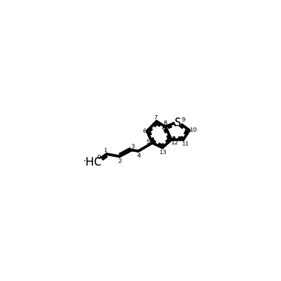 [CH]=CC=CCc1ccc2sccc2c1